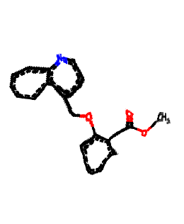 COC(=O)c1ccccc1OCc1ccnc2ccccc12